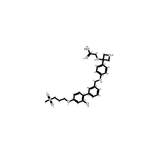 CS(=O)(=O)CCCOc1ccc(-c2cccc(COc3ccc(C4(OCC(=O)O)COC4)cc3)c2)c(Cl)c1